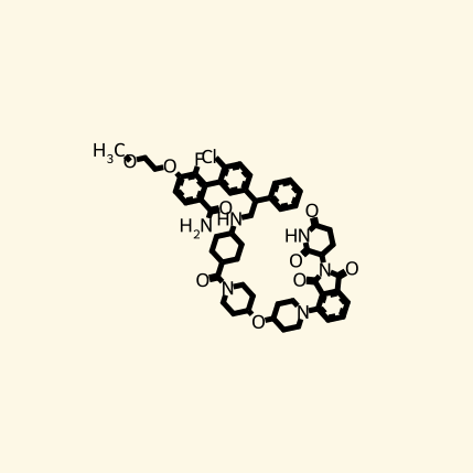 COCCOc1ccc(C(N)=O)c(-c2cc(C(CNC3CCC(C(=O)N4CCC(OC5CCN(c6cccc7c6C(=O)N(C6CCC(=O)NC6=O)C7=O)CC5)CC4)CC3)c3ccccc3)ccc2Cl)c1F